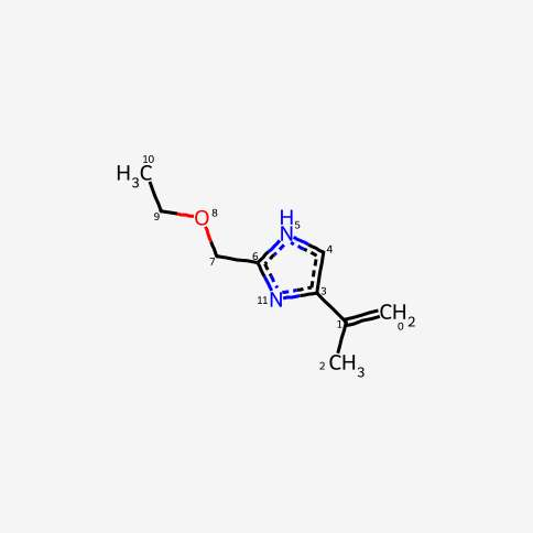 C=C(C)c1c[nH]c(COCC)n1